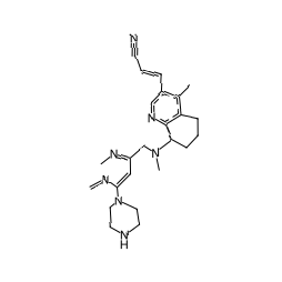 C=N/C(=C\C(CN(C)C1CCCc2c1ncc(/C=C/C#N)c2C)=N/C)N1CCNCC1